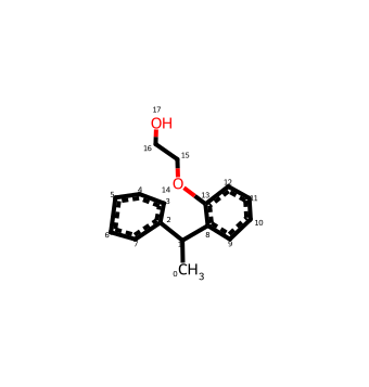 CC(c1ccccc1)c1ccccc1OCCO